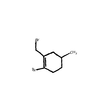 CC1CCC(Br)=C(CBr)C1